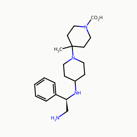 CC1(N2CCC(N[C@@H](CN)c3ccccc3)CC2)CCN(C(=O)O)CC1